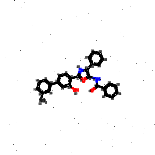 O=C(Nc1oc(-c2ccc(-c3cccc([N+](=O)[O-])c3)cc2O)nc1-c1ccccc1)c1ccccc1